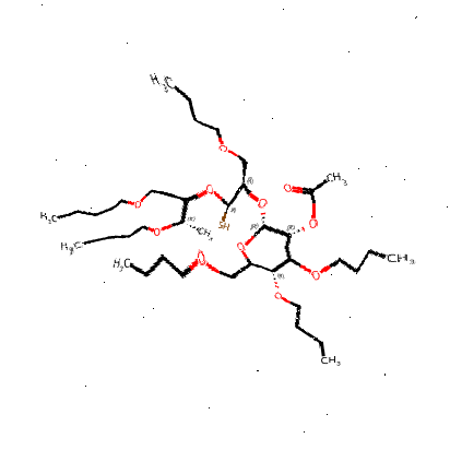 CCCCOCC1O[C@H](O[C@H](COCCCC)[C@@H](S)OC(COCCCC)[C@H](C)OCCCC)[C@H](OC(C)=O)C(OCCCC)[C@@H]1OCCCC